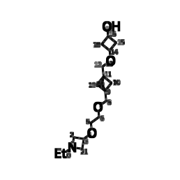 CCN1CC(OCCOCC23CC(COC4CC(O)C4)(C2)C3)C1